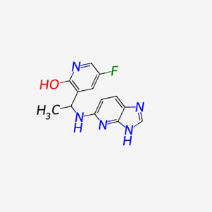 CC(Nc1ccc2nc[nH]c2n1)c1cc(F)cnc1O